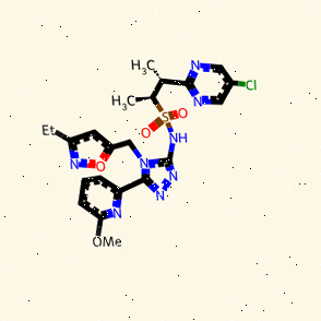 CCc1cc(Cn2c(NS(=O)(=O)[C@@H](C)[C@H](C)c3ncc(Cl)cn3)nnc2-c2cccc(OC)n2)on1